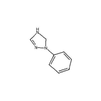 C1=NN(c2ccccc2)CN1